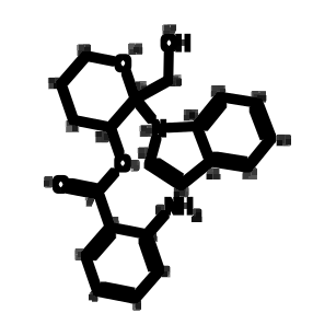 Nc1ccccc1C(=O)OC1CCCOC1(CO)n1ccc2ccccc21